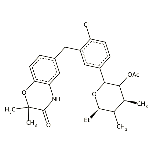 CC[C@H]1OC(c2ccc(Cl)c(Cc3ccc4c(c3)NC(=O)C(C)(C)O4)c2)C(OC(C)=O)[C@@H](C)C1C